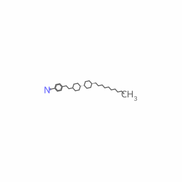 CCCCCCCCCC[C@H]1CC[C@H](C2CCC(CCc3ccc(C#N)cc3)CC2)CC1